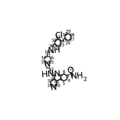 NC(=O)c1ccc2c(c1)nc(NCCN1CCC(CNCc3ccc(-c4ccccc4)c(Cl)c3)CC1)c1ccncc12